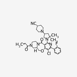 C=CC(=O)N1CCN2C(=O)c3c(N4CC(N5CCC(C#N)CC5)CC4(C)C)nc(-c4ccccc4F)c(Cl)c3OC[C@H]2C1